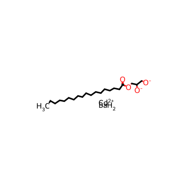 CCCCCCCCCCCCCCCCCC(=O)OCC([O-])C[O-].[BaH2].[Cd+2]